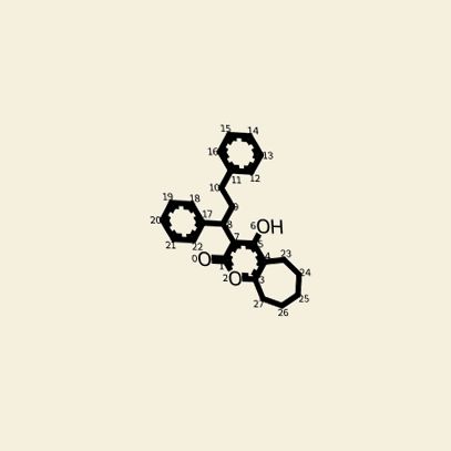 O=c1oc2c(c(O)c1C(CCc1ccccc1)c1ccccc1)CCCCC2